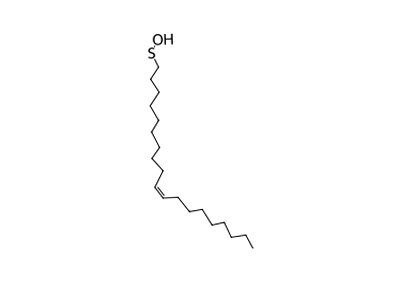 CCCCCCCC/C=C\CCCCCCCCCSO